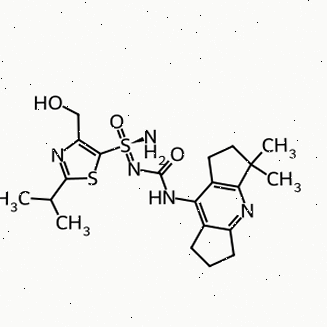 CC(C)c1nc(CO)c([S@](N)(=O)=NC(=O)Nc2c3c(nc4c2CCC4(C)C)CCC3)s1